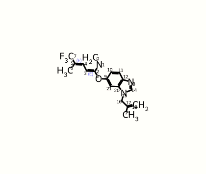 C=N/C(=C\C=C(/C)C(F)(F)F)Oc1ccc2ncn(CC(=C)C)c2c1